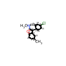 CCCCN(C)c1oc2ccc(C)cc2c1-c1ccc(Cl)cc1